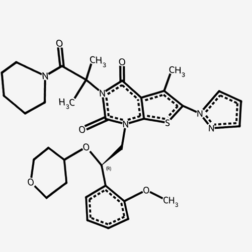 COc1ccccc1[C@H](Cn1c(=O)n(C(C)(C)C(=O)N2CCCCC2)c(=O)c2c(C)c(-n3cccn3)sc21)OC1CCOCC1